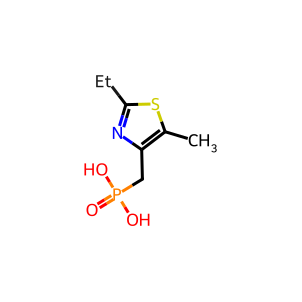 CCc1nc(CP(=O)(O)O)c(C)s1